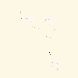 CC(=O)NCc1cncc(OC[C@@H]2CCN2)c1